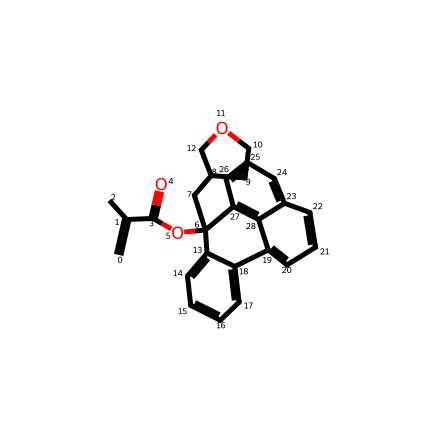 C=C(C)C(=O)OC1(CC2CCOC2)c2ccccc2-c2cccc3cccc1c23